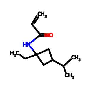 C=CC(=O)NC1(CC)CC(C(C)C)C1